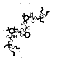 C=CCOCC(CC)(COCC=C)COC(=O)NC1CC(C)(C)CC(C)(CNC(=O)OC2CCCCC2OC(=O)NCC2(C)CC(NC(=O)OCC(CC)(COCC=C)COCC=C)CC(C)(C)C2)C1